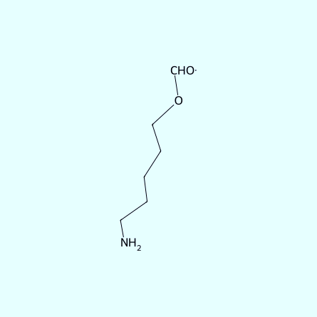 NCCCCCO[C]=O